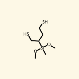 CO[Si](C)(OC)C(CS)CCS